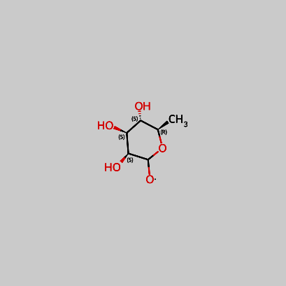 C[C@H]1OC([O])[C@@H](O)[C@@H](O)[C@@H]1O